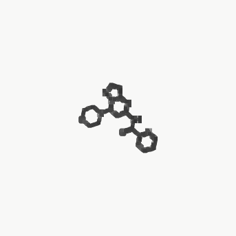 O=C(Nc1cc(N2CCOCC2)n2nccc2n1)c1ccccn1